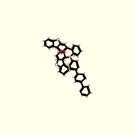 c1ccc(-c2ccc(-c3ccc(N(c4ccccc4-c4ccc5c(c4)oc4ccccc45)c4cccc5oc6ccccc6c45)cc3)cc2)cc1